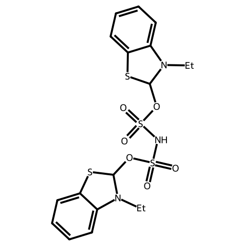 CCN1c2ccccc2SC1OS(=O)(=O)NS(=O)(=O)OC1Sc2ccccc2N1CC